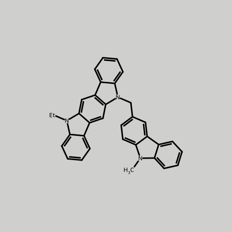 CCn1c2ccccc2c2cc3c(cc21)c1ccccc1n3Cc1ccc2c(c1)c1ccccc1n2C